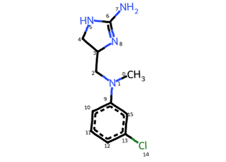 CN(CC1CNC(N)=N1)c1cccc(Cl)c1